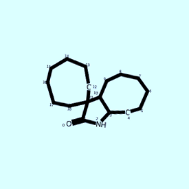 O=C1NC2CCCCCCC2C12CCCCCCC2